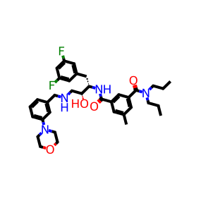 CCCN(CCC)C(=O)c1cc(C)cc(C(=O)N[C@@H](Cc2cc(F)cc(F)c2)[C@H](O)CNCc2cccc(N3CCOCC3)c2)c1